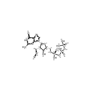 Cc1nc2c(ncn2[C@@H]2O[C@H](COP(=O)(O)OP(=O)(O)OP(=O)(O)O)C(O)[C@@H]2N=[N+]=[N-])c(=O)[nH]1